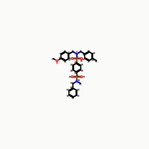 COc1ccc(CN(Cc2ccc(C)cc2)S(=O)(=O)c2ccc(S(=O)(=O)N(C)Cc3ccccc3)cc2)cc1